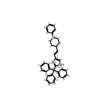 C(=CC1CCN(c2ccccc2)CC1)c1c[nH]c(C(c2ccccc2)(c2ccccc2)c2ccccc2)n1